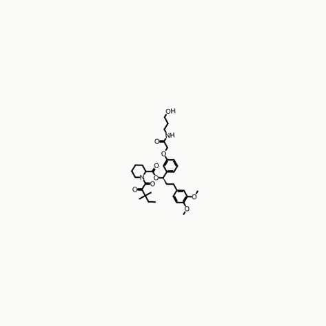 CCC(C)(C)C(=O)C(=O)N1CCCCC1C(=O)O[C@H](CCc1ccc(OC)c(OC)c1)c1cccc(OCC(=O)NCCCO)c1